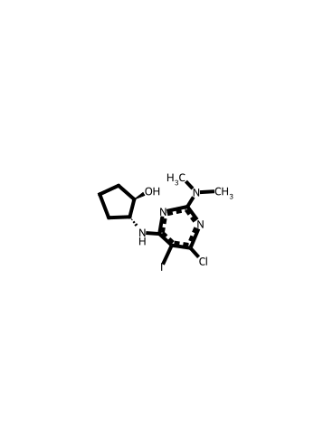 CN(C)c1nc(Cl)c(I)c(N[C@@H]2CCC[C@H]2O)n1